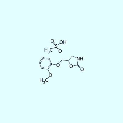 COc1ccccc1OCC1CNC(=O)O1.CS(=O)(=O)O